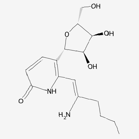 CCCCC(N)=Cc1[nH]c(=O)ccc1[C@@H]1O[C@H](CO)[C@@H](O)[C@H]1O